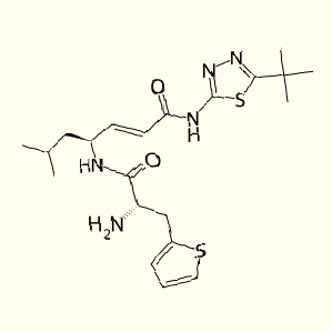 CC(C)C[C@@H](C=CC(=O)Nc1nnc(C(C)(C)C)s1)NC(=O)[C@@H](N)Cc1cccs1